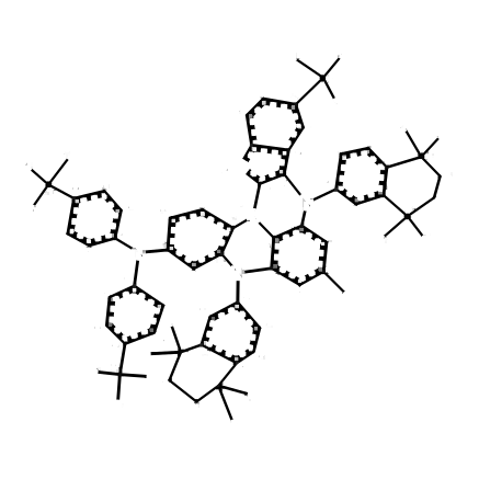 Cc1cc2c3c(c1)N(c1ccc4c(c1)C(C)(C)CCC4(C)C)c1c(oc4ccc(C(C)(C)C)cc14)B3c1ccc(N(c3ccc(C(C)(C)C)cc3)c3ccc(C(C)(C)C)cc3)cc1N2c1ccc2c(c1)C(C)(C)CCC2(C)C